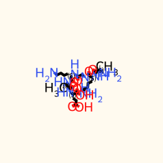 C[C@H](N)C(=O)N[C@@H](CCCCN)C(=O)NCC(=O)N[C@@H](CCCCN)C(=O)N[C@@H](C)C(=O)N[C@@H](CCC(=O)O)C(=O)O